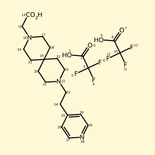 O=C(O)C(F)(F)F.O=C(O)C(F)(F)F.O=C(O)CN1CCC2(CCN(CCc3ccncc3)CC2)CC1